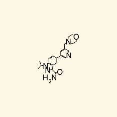 CC(C)n1nc(C(N)=O)c2cc(-c3cncc(CN4CCOCC4)c3)ccc21